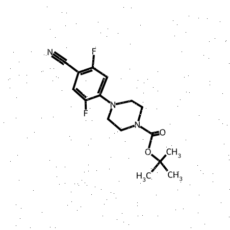 CC(C)(C)OC(=O)N1CCN(c2cc(F)c(C#N)cc2F)CC1